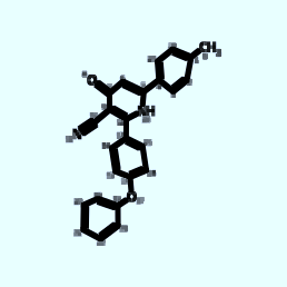 Cc1ccc(-c2cc(=O)c(C#N)c(-c3ccc(Oc4ccccc4)cc3)[nH]2)cc1